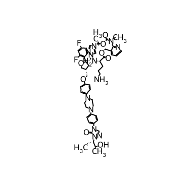 CC[C@@H]([C@H](C)O)n1ncn(-c2ccc(N3CCN(c4ccc(OC[C@@H]5CO[C@@](Cn6c[n+](C(C)OC(=O)N(C)c7ncccc7COC(=O)[C@@H](N)CCCN)cn6)(c6ccc(F)cc6F)C5)cc4)CC3)cc2)c1=O